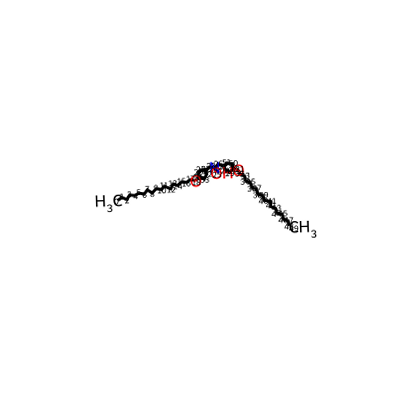 CCCCCCCCCCCCCCCCCCOc1ccc(CN(O)Cc2ccc(OCCCCCCCCCCCCCCCCCC)cc2)cc1